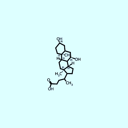 CC(CCC(=O)O)C1CC[C@H]2C3[C@H](O)CC4C[C@H](O)CC[C@]4(C)[C@H]3CC[C@]12C